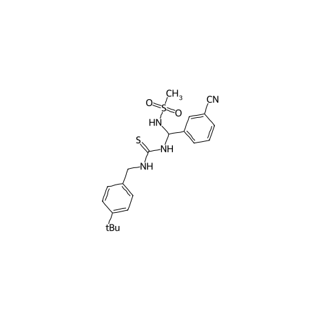 CC(C)(C)c1ccc(CNC(=S)NC(NS(C)(=O)=O)c2cccc(C#N)c2)cc1